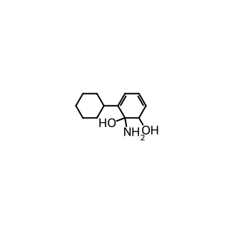 NC1(O)C(C2CCCCC2)=CC=CC1O